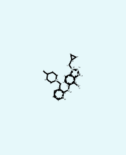 CC1CCN(Cc2cccnc2Oc2ccc3c(nnn3CC3CC3)c2Br)CC1